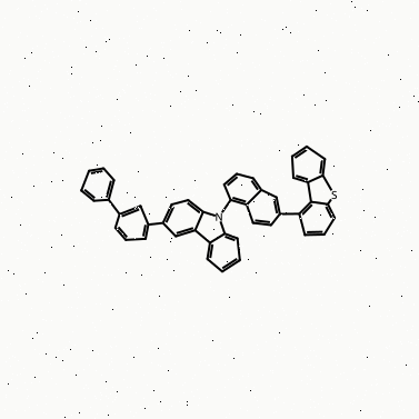 c1ccc(-c2cccc(-c3ccc4c(c3)c3ccccc3n4-c3cccc4cc(-c5cccc6sc7ccccc7c56)ccc34)c2)cc1